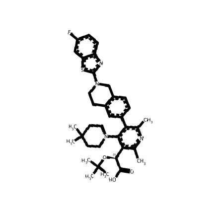 Cc1nc(C)c([C@H](OC(C)(C)C)C(=O)O)c(N2CCC(C)(C)CC2)c1-c1ccc2c(c1)CCN(c1nc3ccc(F)cc3s1)C2